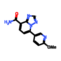 COc1ccc(-c2ccc(C(N)=O)c3n[c]nn23)cn1